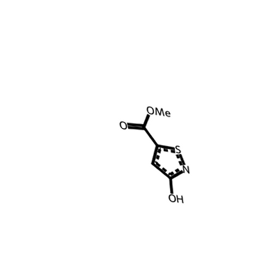 COC(=O)c1cc(O)ns1